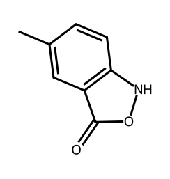 Cc1ccc2[nH]oc(=O)c2c1